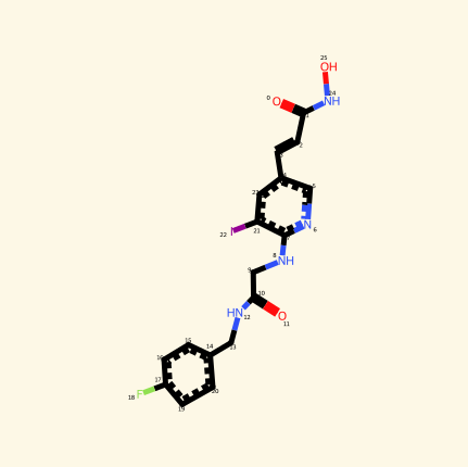 O=C(/C=C/c1cnc(NCC(=O)NCc2ccc(F)cc2)c(I)c1)NO